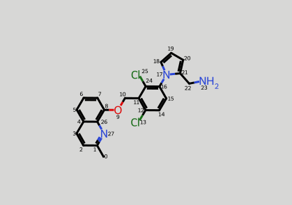 Cc1ccc2cccc(OCc3c(Cl)ccc(-n4cccc4CN)c3Cl)c2n1